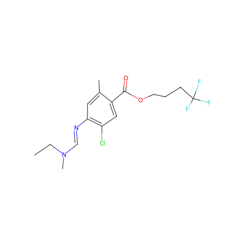 CCN(C)/C=N/c1cc(C)c(C(=O)OCCCC(F)(F)F)cc1Cl